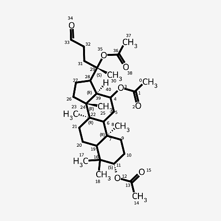 CC(=O)OC1CC2[C@@]3(C)CC[C@H](OC(C)=O)C(C)(C)C3CC[C@@]2(C)[C@]2(C)CCC([C@](C)(CCC=O)OC(C)=O)[C@@H]12